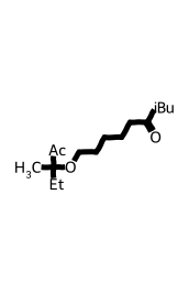 CCC(C)C(=O)CCCCCOC(C)(CC)C(C)=O